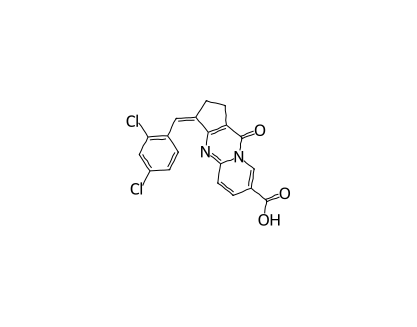 O=C(O)c1ccc2nc3c(c(=O)n2c1)CC/C3=C/c1ccc(Cl)cc1Cl